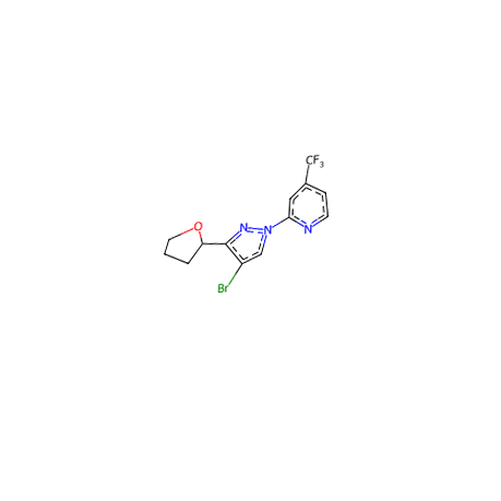 FC(F)(F)c1ccnc(-n2cc(Br)c(C3CCCO3)n2)c1